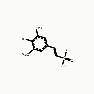 COc1cc(C=CP(=O)(O)F)cc(OC)c1O